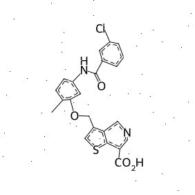 Cc1ccc(NC(=O)c2cccc(Cl)c2)cc1OCc1csc2c(C(=O)O)cncc12